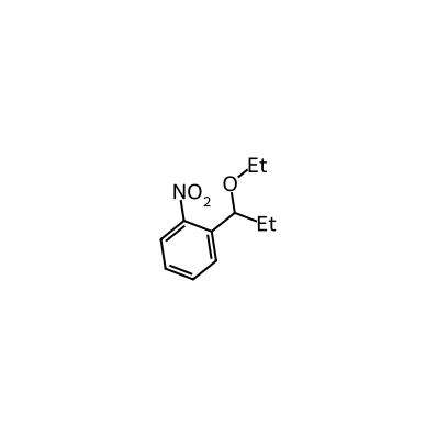 CCOC(CC)c1ccccc1[N+](=O)[O-]